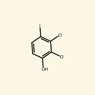 Oc1ccc(I)c(Cl)c1Cl